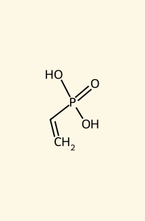 C=CP(=O)(O)O